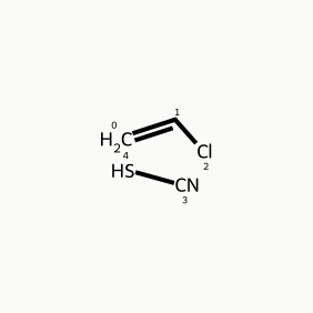 C=CCl.N#CS